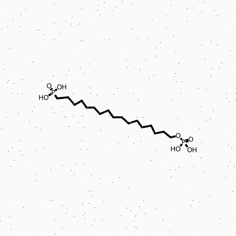 O=P(O)(O)CCCCCCCCCCCCCCCCCOP(=O)(O)O